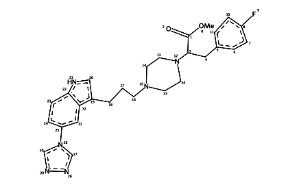 COC(=O)C(Cc1ccc(F)cc1)N1CCN(CCCc2c[nH]c3ccc(-n4cnnc4)cc23)CC1